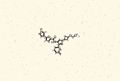 O=C(Nc1cn(C2CC(OCC(F)(F)F)C2)nc1-c1cccc(F)n1)c1ccc(-c2cn[nH]c2)o1